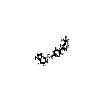 FC(F)(F)c1nc(-c2ccc(COc3nccc4nccn34)nc2)no1